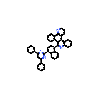 c1ccc(-c2cc(-c3ccccc3)nc(-c3ccc(-c4nc5ccccc5c5c6cccnc6c6ccccc6c45)c4ccccc34)n2)cc1